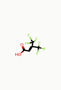 O=C(O)C=C(C(F)(F)F)C(F)(F)F